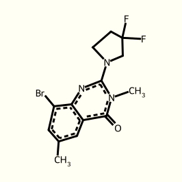 Cc1cc(Br)c2nc(N3CCC(F)(F)C3)n(C)c(=O)c2c1